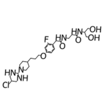 O=C(Cc1ccc(OCCCC2CCN(C3NCC(Cl)CN3)CC2)cc1F)NCCC(=O)NC(CO)CO